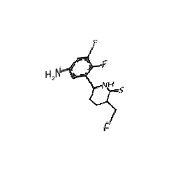 Nc1cc(F)c(F)c(C2CCC(CF)C(=S)N2)c1